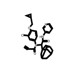 C#CC(=O)N(c1ccc(OCC2CC2)c(Cl)c1)C(C(=O)Nc1cccnc1)C12CC3CC(CC(C3)C1)C2